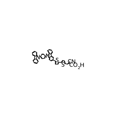 N#C/C(=C\c1ccc(-c2ccc(-c3ccc4c(c3)c3ccccc3n4-c3ccc(-n4c5ccccc5c5ccccc54)cc3)s2)s1)C(=O)O